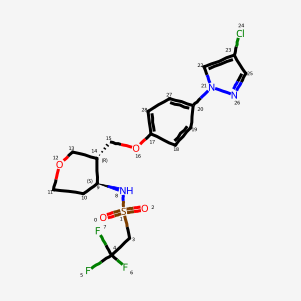 O=S(=O)(CC(F)(F)F)N[C@H]1CCOC[C@@H]1COc1ccc(-n2cc(Cl)cn2)cc1